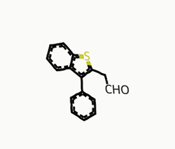 O=CCc1sc2ccccc2c1-c1ccccc1